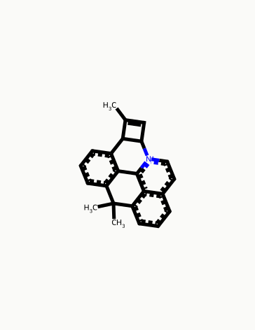 CC1=CC2C1c1cccc3c1-c1c4c(cccc4cc[n+]12)C3(C)C